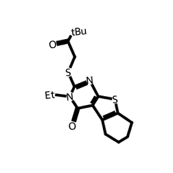 CCn1c(SCC(=O)C(C)(C)C)nc2sc3c(c2c1=O)CCCC3